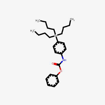 CCC[CH2][Sn]([CH2]CCC)([CH2]CCC)[c]1ccc(NC(=O)Oc2ccccc2)cc1